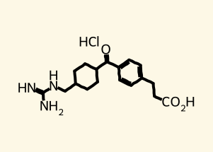 Cl.N=C(N)NCC1CCC(C(=O)c2ccc(CCC(=O)O)cc2)CC1